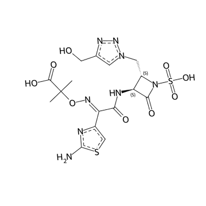 CC(C)(ON=C(C(=O)N[C@@H]1C(=O)N(S(=O)(=O)O)[C@H]1Cn1cc(CO)nn1)c1csc(N)n1)C(=O)O